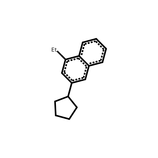 [CH2]Cc1cc(C2CCCC2)cc2ccccc12